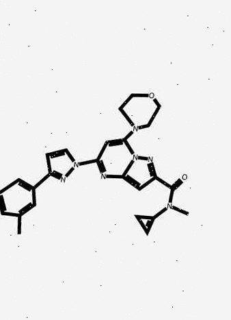 Cc1cccc(-c2ccn(-c3cc(N4CCOCC4)n4nc(C(=O)N(C)C5=CC5)cc4n3)n2)c1